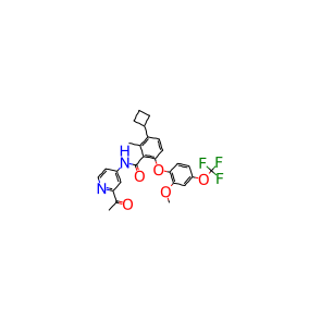 COc1cc(OC(F)(F)F)ccc1Oc1ccc(C2CCC2)c(C)c1C(=O)Nc1ccnc(C(C)=O)c1